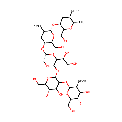 CC(=O)NC1C[C@H](O[C@@H](CO)OC(CO[C@H]2OC(CO)[C@@H](O)C(O)C2O[C@@H]2OC(CO)[C@@H](O)C(O)C2NC(C)=O)[C@@H](O)CO)C(CO)O[C@H]1O[C@H]1CC(NC(C)=O)[C@H](C)OC1CO